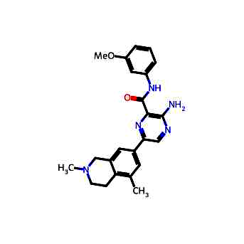 COc1cccc(NC(=O)c2nc(-c3cc(C)c4c(c3)CN(C)CC4)cnc2N)c1